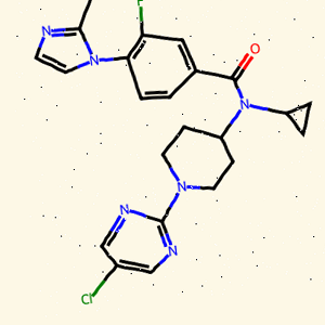 Cc1nccn1-c1ccc(C(=O)N(C2CC2)C2CCN(c3ncc(Cl)cn3)CC2)cc1F